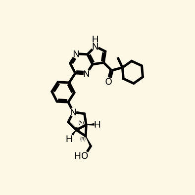 CC1(C(=O)c2c[nH]c3ncc(-c4cccc(N5C[C@@H]6[C@@H](CO)[C@@H]6C5)c4)nc23)CCCCC1